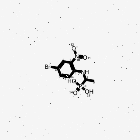 CC(Nc1ccc(Br)cc1[N+](=O)[O-])P(=O)(O)O